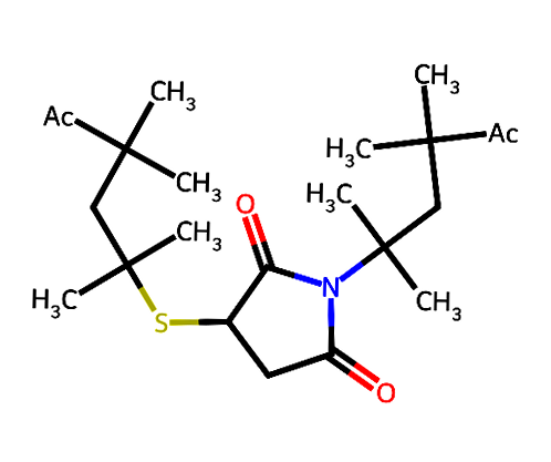 CC(=O)C(C)(C)CC(C)(C)SC1CC(=O)N(C(C)(C)CC(C)(C)C(C)=O)C1=O